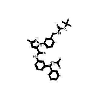 Cc1cc(C(=O)Nc2cccc(C(NC(C)C)c3ccccc3)c2)n(-c2cccc(CNC(=O)OC(C)(C)C)c2)n1